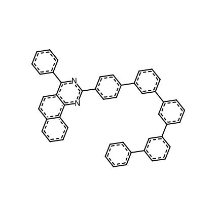 c1ccc(-c2cccc(-c3cccc(-c4cccc(-c5ccc(-c6nc(-c7ccccc7)c7ccc8ccccc8c7n6)cc5)c4)c3)c2)cc1